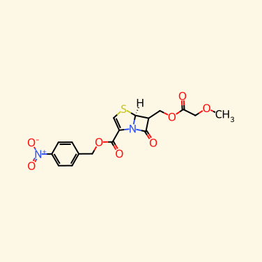 COCC(=O)OCC1C(=O)N2C(C(=O)OCc3ccc([N+](=O)[O-])cc3)=CS[C@@H]12